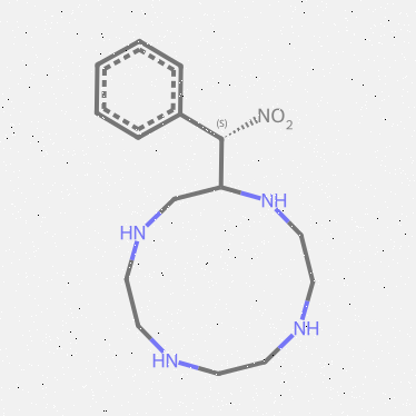 O=[N+]([O-])[C@@H](c1ccccc1)C1CNCCNCCNCCN1